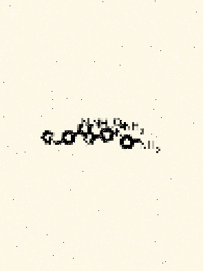 NCc1cccc(N(C(N)=O)c2ccc(-c3csc4c(-c5ccc(CN6CCCC6)cc5)cnc(N)c34)cc2)c1